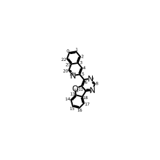 c1ccc2cc(-c3ncnc4c3oc3ccccc34)ncc2c1